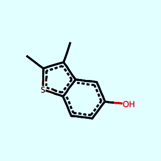 Cc1sc2ccc(O)cc2c1C